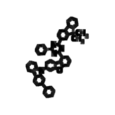 CC1(C)c2ccccc2-c2ccc(-c3nc(-c4ccccc4)nc(-c4cccc5oc6cc(-n7c8ccccc8c8ccc(-c9ccccc9)cc87)ccc6c45)n3)cc21